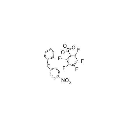 O=S(=O)([O-])c1c(F)c(F)c(F)c(F)c1F.O=[N+]([O-])c1ccc([I+]c2ccccc2)cc1